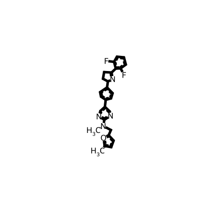 Cc1ccc(CN(C)c2ncc(-c3ccc(C4CCC(c5c(F)cccc5F)=N4)cc3)cn2)o1